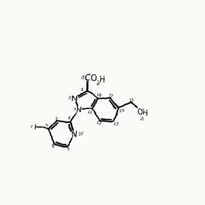 O=C(O)c1nn(-c2cc(I)ccn2)c2ccc(CO)cc12